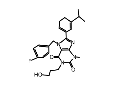 CC(C)C1=CC(c2nc3c(c(=O)n(CCCO)c(=O)n3C)n2Cc2ccc(F)cc2)=CCC1